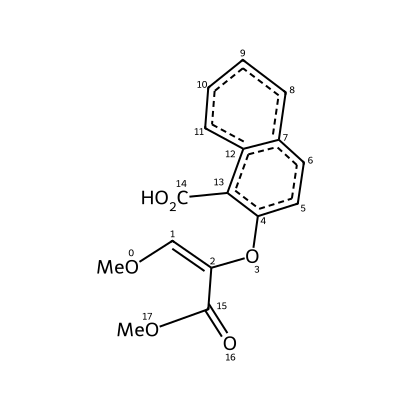 COC=C(Oc1ccc2ccccc2c1C(=O)O)C(=O)OC